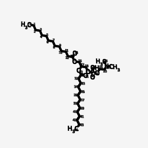 CCCCCCCCCCCCCC(=O)OCC(COP(=O)(O)OCCN(C)C)OC(=O)CCCCCCCCCCCCC